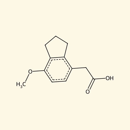 COc1ccc(CC(=O)O)c2c1CCC2